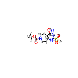 CC(C)(C)OC(=O)N1CCc2nc(S(C)(=O)=O)[nH]c(=O)c2CC1